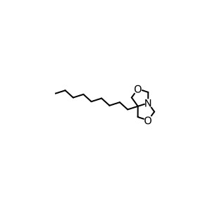 CCCCCCCCCC12COCN1COC2